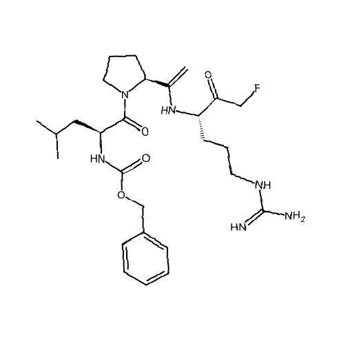 C=C(N[C@@H](CCCNC(=N)N)C(=O)CF)[C@@H]1CCCN1C(=O)[C@H](CC(C)C)NC(=O)OCc1ccccc1